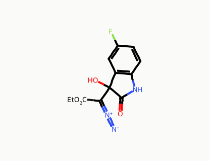 CCOC(=O)C(=[N+]=[N-])C1(O)C(=O)Nc2ccc(F)cc21